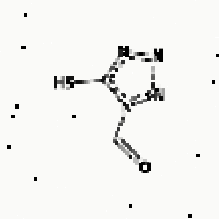 O=Cn1nnnc1S